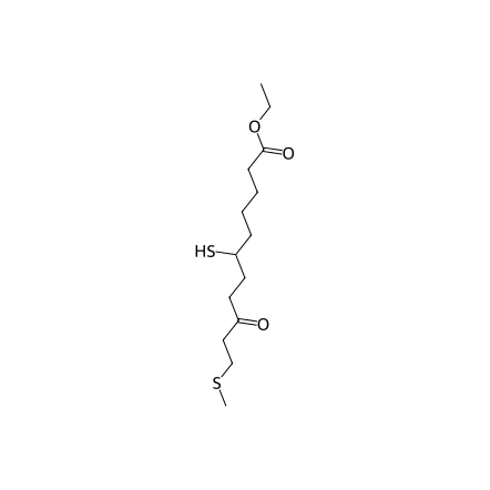 CCOC(=O)CCCCC(S)CCC(=O)CCSC